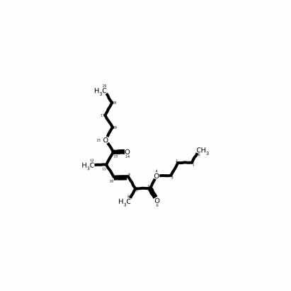 CCCCOC(=O)C(C)C=CC(C)C(=O)OCCCC